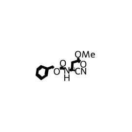 COC(=O)C[C@@H](C#N)NC(=O)OCc1ccccc1